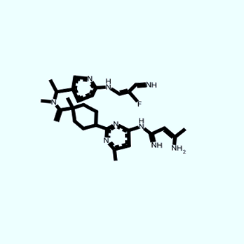 C=C(N(C)C(C)c1ccc(N/C=C(/F)C=N)nc1)C1(C)CCC(c2nc(C)cc(NC(=N)/C=C(/C)N)n2)CC1